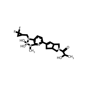 CC(O)C(=O)N1CC2C=C(c3ccc4c(n3)N(C)S(O)(O)N4CC3CC3(F)F)CC2C1